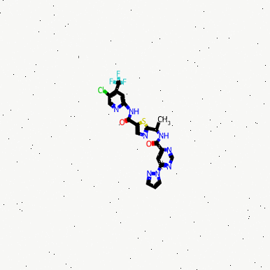 CC(NC(=O)c1cc(-n2cccn2)ncn1)c1ncc(C(=O)Nc2cc(C(F)(F)F)c(Cl)cn2)s1